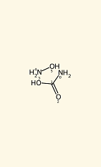 NC(=O)O.NO